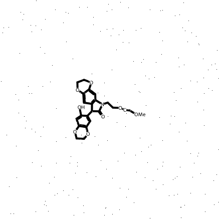 COCCOCCN1C(=O)C(c2cc3c(cc2O)OCCO3)c2cc3c(cc21)OCCO3